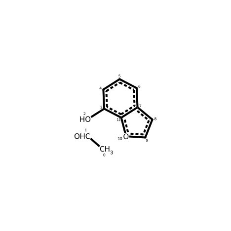 CC=O.Oc1cccc2ccoc12